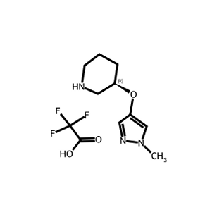 Cn1cc(O[C@@H]2CCCNC2)cn1.O=C(O)C(F)(F)F